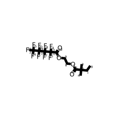 CCC(C)(C)C(=O)OCCOC(=O)C(F)(F)C(F)(F)C(F)(F)C(F)(F)F